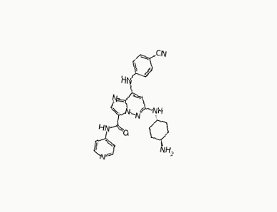 N#Cc1ccc(Nc2cc(N[C@H]3CC[C@H](N)CC3)nn3c(C(=O)Nc4ccncc4)cnc23)cc1